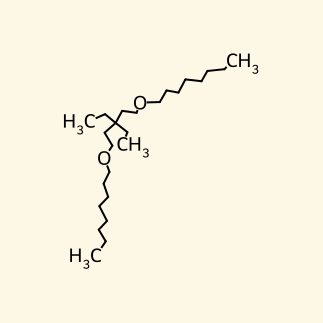 CCCCCCCCOCCC(CC)(CC)CCOCCCCCCCC